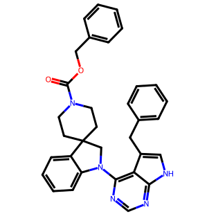 O=C(OCc1ccccc1)N1CCC2(CC1)CN(c1ncnc3[nH]cc(Cc4ccccc4)c13)c1ccccc12